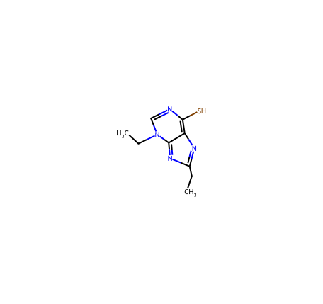 CCc1nc2c(S)ncn(CC)c-2n1